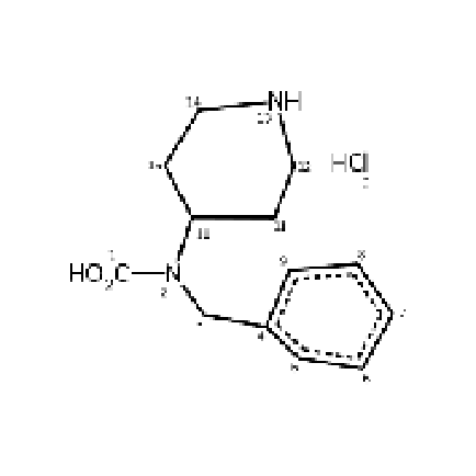 Cl.O=C(O)N(Cc1ccccc1)C1CCNCC1